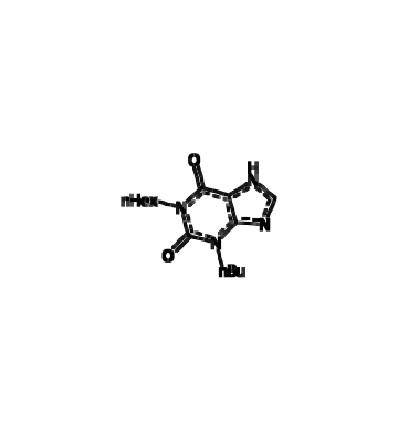 CCCCCCn1c(=O)c2[nH]cnc2n(CCCC)c1=O